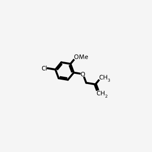 C=C(C)COc1ccc(Cl)cc1OC